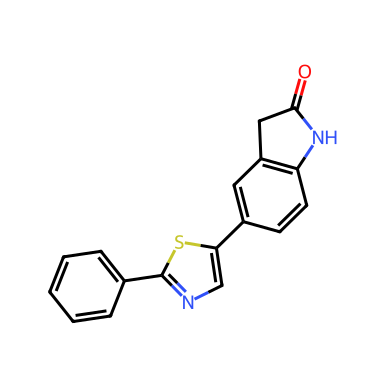 O=C1Cc2cc(-c3cnc(-c4ccccc4)s3)ccc2N1